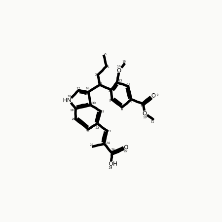 CCCC(c1ccc(C(=O)OC)cc1OC)c1c[nH]c2ccc(/C=C(\C)C(=O)O)cc12